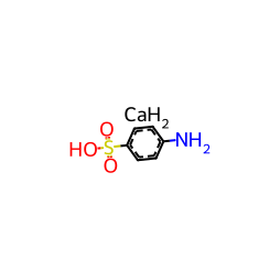 Nc1ccc(S(=O)(=O)O)cc1.[CaH2]